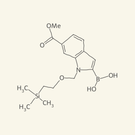 COC(=O)c1ccc2cc(B(O)O)n(COCC[Si](C)(C)C)c2c1